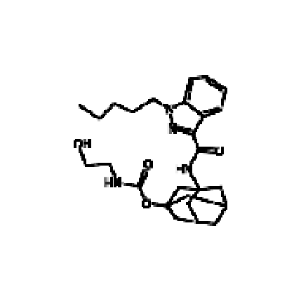 CCCCCn1nc(C(=O)NC23CC4CC(C2)CC(OC(=O)NCCO)(C4)C3)c2ccccc21